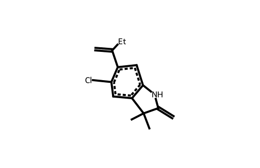 C=C(CC)c1cc2c(cc1Cl)C(C)(C)C(=C)N2